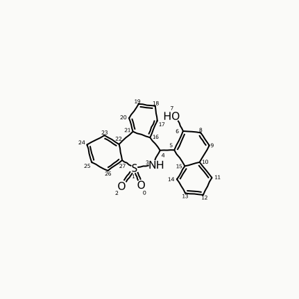 O=S1(=O)NC(c2c(O)ccc3ccccc23)c2ccccc2-c2ccccc21